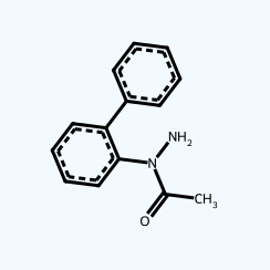 CC(=O)N(N)c1ccccc1-c1ccccc1